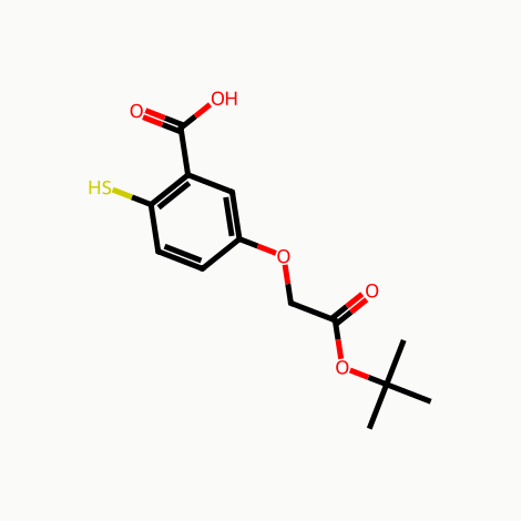 CC(C)(C)OC(=O)COc1ccc(S)c(C(=O)O)c1